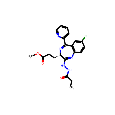 CCC(=O)NNC1=Nc2ccc(Cl)cc2C(c2ccccn2)=N[C@H]1CCC(=O)OC